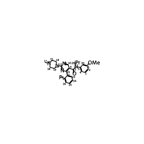 COc1cccc(N(C(=O)c2cnc(N3CCN(C)CC3)nc2-c2ccccc2F)C(C)C)c1